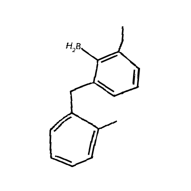 Bc1c(C)cccc1Cc1ccccc1C